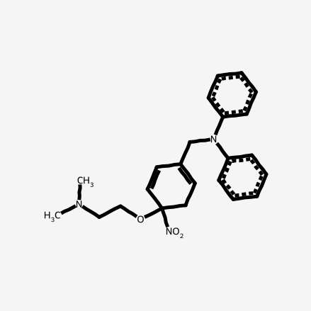 CN(C)CCOC1([N+](=O)[O-])C=CC(CN(c2ccccc2)c2ccccc2)=CC1